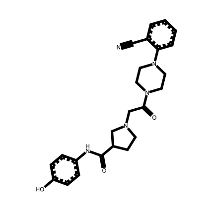 N#Cc1ccccc1N1CCN(C(=O)CN2CCC(C(=O)Nc3ccc(O)cc3)C2)CC1